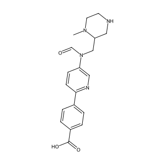 CN1CCNCC1CN(C=O)c1ccc(-c2ccc(C(=O)O)cc2)nc1